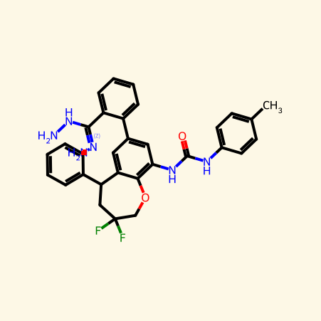 Cc1ccc(NC(=O)Nc2cc(-c3ccccc3/C(=N/N)NN)cc3c2OCC(F)(F)CC3c2ccccc2)cc1